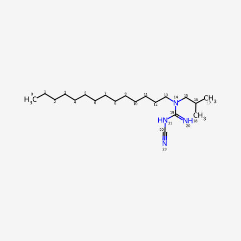 CCCCCCCCCCCCCCN(CC(C)C)C(=N)NC#N